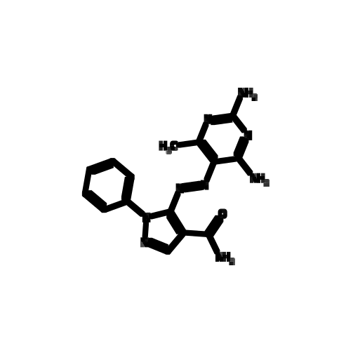 Cc1nc(N)nc(N)c1/N=N/c1c(C(N)=O)cnn1-c1ccccc1